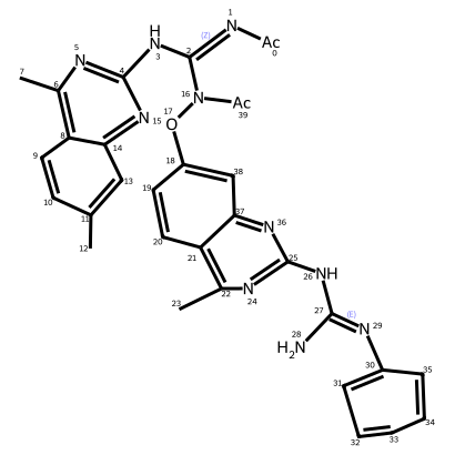 CC(=O)/N=C(/Nc1nc(C)c2ccc(C)cc2n1)N(Oc1ccc2c(C)nc(N/C(N)=N/c3ccccc3)nc2c1)C(C)=O